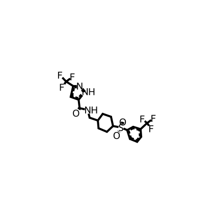 O=C(NCC1CCC(S(=O)(=O)c2cccc(C(F)(F)F)c2)CC1)c1cc(C(F)(F)F)n[nH]1